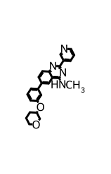 CNc1nc(-c2cccnc2)nc2ccc(-c3cccc(OC4CCCOC4)c3)cc12